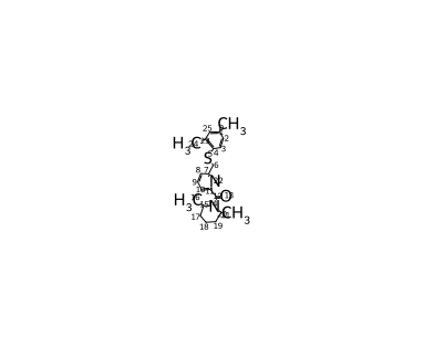 Cc1ccc(SCc2cccc(C(=O)N3C(C)CCCC3C)n2)c(C)c1